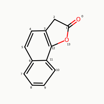 O=C1Cc2ccc3ccccc3c2O1